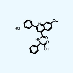 COc1ccc2c(C(=O)NC(C(=O)O)c3ccccc3)cc(-c3ccccc3)nc2c1.Cl